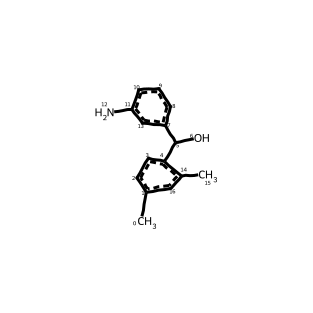 Cc1ccc(C(O)c2cccc(N)c2)c(C)c1